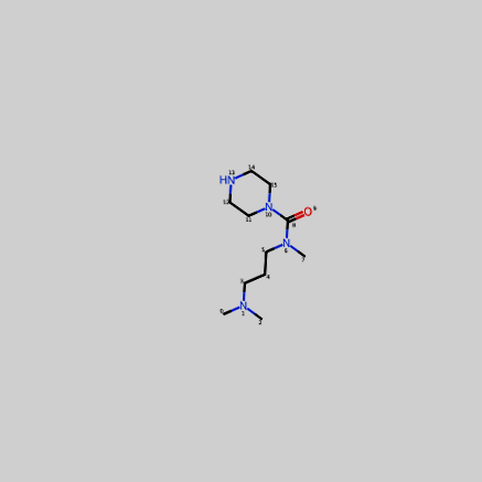 CN(C)CCCN(C)C(=O)N1CCNCC1